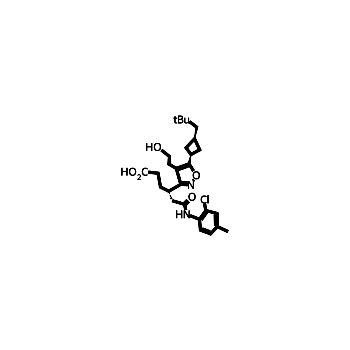 Cc1ccc(NC(=O)C[C@H](CCC(=O)O)c2noc([C@H]3C[C@@H](CC(C)(C)C)C3)c2CCO)c(Cl)c1